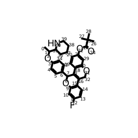 CC(Oc1ccc(C2Oc3cc(F)ccc3C3=C2c2ccc(OC(=O)C(C)(C)C)cc2OC3)cc1)C1CCCCN1